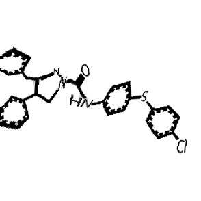 O=C(Nc1ccc(Sc2ccc(Cl)cc2)cc1)N1CC(c2ccccc2)C(c2ccccc2)=N1